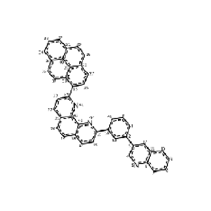 c1cc(-c2cnc3ccccc3c2)cc(-c2ccc3ccc4ccc(-c5ccc6ccc7cccc8ccc5c6c78)nc4c3n2)c1